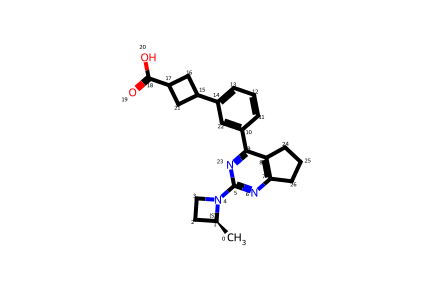 C[C@H]1CCN1c1nc2c(c(-c3cccc(C4CC(C(=O)O)C4)c3)n1)CCC2